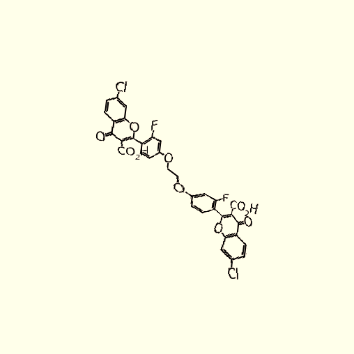 O=C(O)c1c(-c2ccc(OCCOc3ccc(-c4oc5cc(Cl)ccc5c(=O)c4C(=O)O)c(F)c3)cc2F)oc2cc(Cl)ccc2c1=O